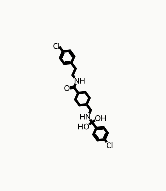 O=C(NCCc1ccc(Cl)cc1)C1CCC(CNC(O)(O)c2ccc(Cl)cc2)CC1